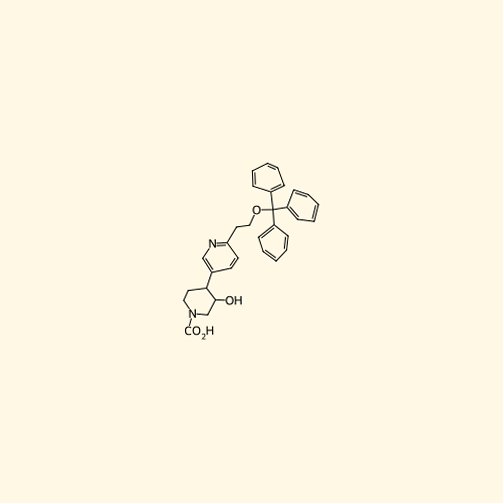 O=C(O)N1CCC(c2ccc(CCOC(c3ccccc3)(c3ccccc3)c3ccccc3)nc2)C(O)C1